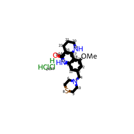 COc1cc(CN2CCSCC2)cc2[nH]c(=O)c3c(c12)NCCC3.Cl.Cl